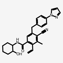 C=Cc1c(C(=O)NC2CCCCC2O)cc(Cc2ccc(-n3cccn3)cc2)c(C#N)c1C